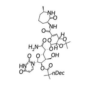 CCCCCCCCCCC(C)(C)C(=O)O[C@@H]1[C@H](CO)[C@@H]([C@@H](O[C@H]2OC(C(=O)N[C@H]3CCC[C@@H](C)NC3=O)=C[C@@H]3OC(C)(C)O[C@H]23)C(N)=O)O[C@H]1n1ccc(=O)[nH]c1=O